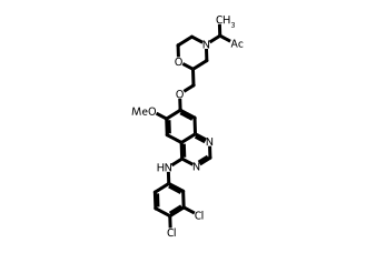 COc1cc2c(Nc3ccc(Cl)c(Cl)c3)ncnc2cc1OCC1CN(C(C)C(C)=O)CCO1